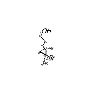 OCCCC1(Br)CC1(Br)Br